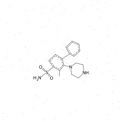 Cc1c(S(N)(=O)=O)ccc(-c2ccccc2)c1N1CCNCC1